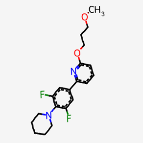 COCCCOc1cccc(-c2cc(F)c(N3CCCCC3)c(F)c2)n1